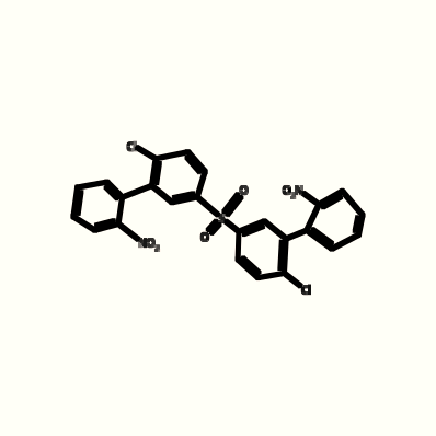 O=[N+]([O-])c1ccccc1-c1cc(S(=O)(=O)c2ccc(Cl)c(-c3ccccc3[N+](=O)[O-])c2)ccc1Cl